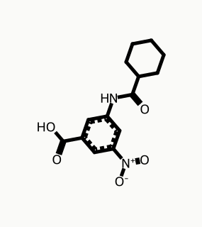 O=C(O)c1cc(NC(=O)C2CCCCC2)cc([N+](=O)[O-])c1